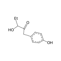 CCC(O)C(=O)Cc1ccc(O)cc1